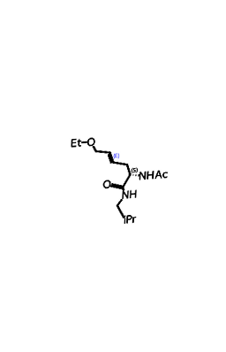 CCOC/C=C/C[C@H](NC(C)=O)C(=O)NCC(C)C